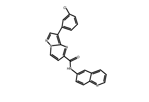 O=C(Nc1ccc2ncccc2c1)c1ccn2ncc(-c3cccc(Cl)c3)c2n1